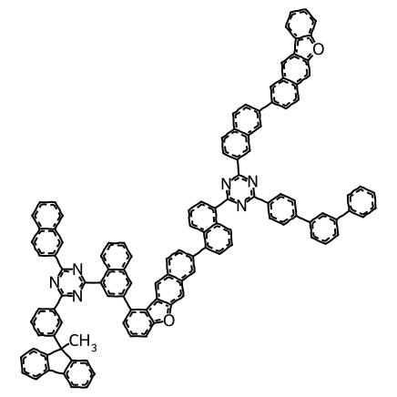 CC1(c2cccc(-c3nc(-c4ccc5ccccc5c4)nc(-c4cc(-c5cccc6oc7cc8cc(-c9cccc%10c(-c%11nc(-c%12ccc(-c%13cccc(-c%14ccccc%14)c%13)cc%12)nc(-c%12ccc%13ccc(-c%14ccc%15cc%16oc%17ccccc%17c%16cc%15c%14)cc%13c%12)n%11)cccc9%10)ccc8cc7c56)cc5ccccc45)n3)c2)c2ccccc2-c2ccccc21